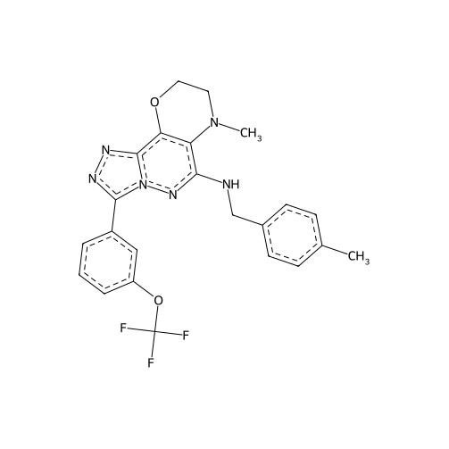 Cc1ccc(CNc2nn3c(-c4cccc(OC(F)(F)F)c4)nnc3c3c2N(C)CCO3)cc1